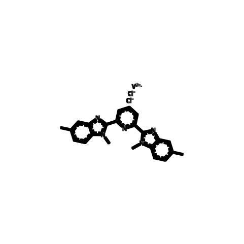 Cc1ccc2c(c1)nc(-c1cccc(-c3nc4cc(C)ccc4n3C)n1)n2C.[Cl-].[Cl-].[V+2]